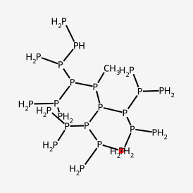 CP(P(P(P)P)P(P)PP)P(P(P(P)P)P(P)P)P(P(P)P)P(P)P